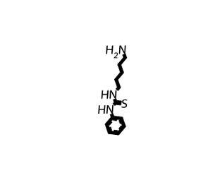 NCCCCCNC(=S)Nc1ccccc1